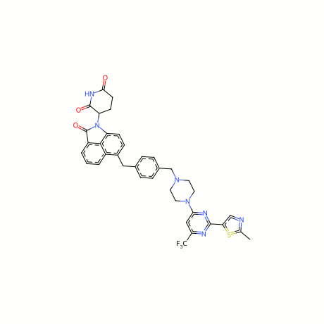 Cc1ncc(-c2nc(N3CCN(Cc4ccc(Cc5ccc6c7c(cccc57)C(=O)N6C5CCC(=O)NC5=O)cc4)CC3)cc(C(F)(F)F)n2)s1